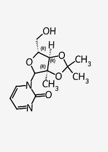 CC1(C)O[C@@H]2[C@@H](CO)OC(n3cccnc3=O)[C@]2(C)O1